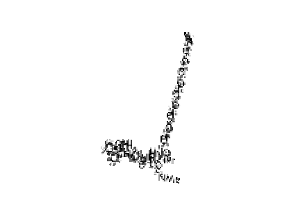 CNCCCC[C@H](NC(=O)[C@@H](NC(=O)CCOCCOCCOCCOCCOCCOCCOCCOCCOCCN=[N+]=[N-])C(C)C)C(=O)Nc1ccc(CCC(C)(C)[Si](O)(c2ccccc2)c2ccccc2)cc1